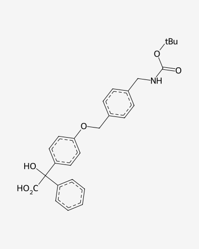 CC(C)(C)OC(=O)NCc1ccc(COc2ccc(C(O)(C(=O)O)c3ccccc3)cc2)cc1